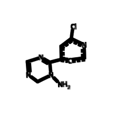 NN1CN=CN=C1c1ccnc(Cl)c1